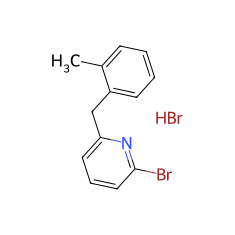 Br.Cc1ccccc1Cc1cccc(Br)n1